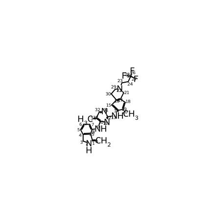 C=C1NCc2cccc(Nc3nc(Nc4cc5c(cc4C)CN(CCC(F)(F)F)CC5)ncc3C)c21